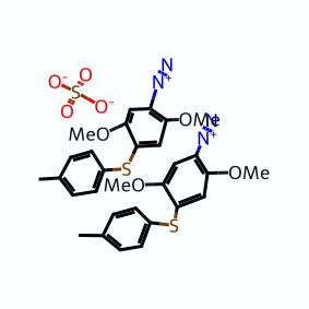 COc1cc(Sc2ccc(C)cc2)c(OC)cc1[N+]#N.COc1cc(Sc2ccc(C)cc2)c(OC)cc1[N+]#N.O=S(=O)([O-])[O-]